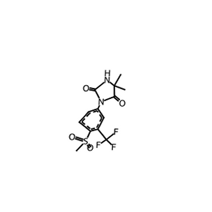 CC1(C)NC(=O)N(c2ccc(S(C)(=O)=O)c(C(F)(F)F)c2)C1=O